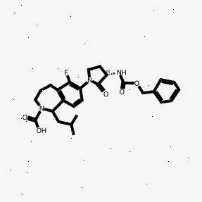 CC(C)CC1c2ccc(N3CC[C@H](NC(=O)OCc4ccccc4)C3=O)c(F)c2CCCN1C(=O)O